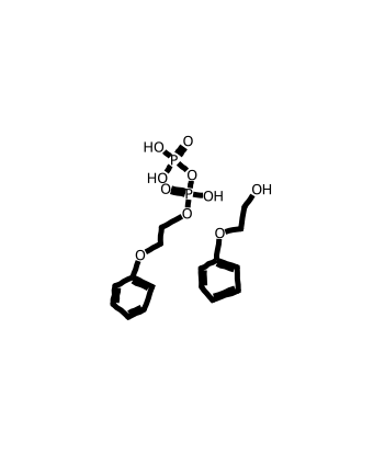 O=P(O)(O)OP(=O)(O)OCCOc1ccccc1.OCCOc1ccccc1